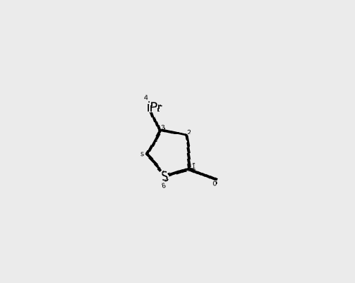 CC1CC(C(C)C)CS1